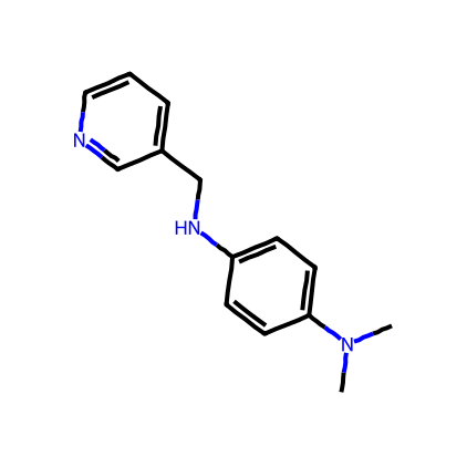 CN(C)c1ccc(NCc2cccnc2)cc1